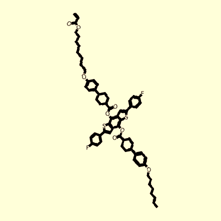 C=CC(=O)OCCCCCCCCOc1ccc(C2CCC(C(=O)Oc3c4cc(-c5ccc(F)cc5)sc4c(OC(=O)C4CCC(c5ccc(OCCCCCCCC)cc5)CC4)c4cc(-c5ccc(F)cc5)sc34)CC2)cc1